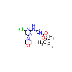 CC(C)(C)OC(=O)N1CC(Nc2nc(Cl)cc(N3CCOCC3)n2)C1